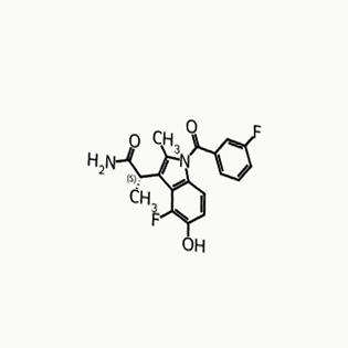 Cc1c([C@H](C)C(N)=O)c2c(F)c(O)ccc2n1C(=O)c1cccc(F)c1